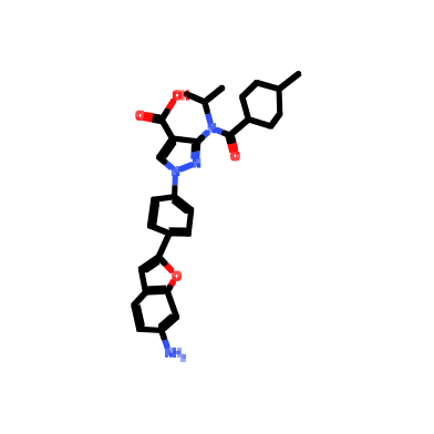 CC1CCC(C(=O)N(c2nn(-c3ccc(-c4cc5ccc(N)cc5o4)cc3)cc2C(=O)O)C(C)C)CC1